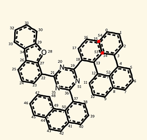 c1ccc(-c2cccc3cccc(-c4ccccc4-c4nc(-c5cccc6c5oc5ccccc56)nc(-c5cccc6ccc7ccccc7c56)n4)c23)cc1